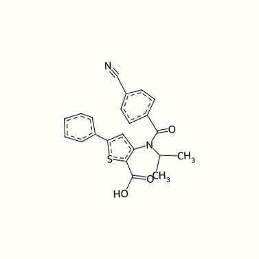 CC(C)N(C(=O)c1ccc(C#N)cc1)c1cc(-c2ccccc2)sc1C(=O)O